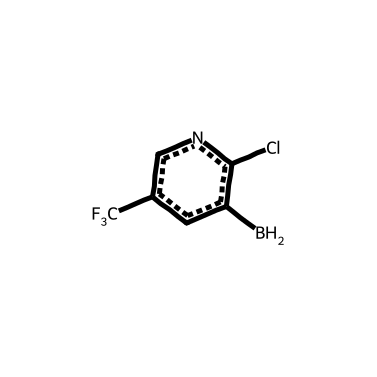 Bc1cc(C(F)(F)F)cnc1Cl